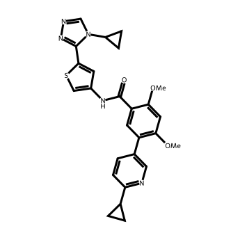 COc1cc(OC)c(-c2ccc(C3CC3)nc2)cc1C(=O)Nc1csc(-c2nncn2C2CC2)c1